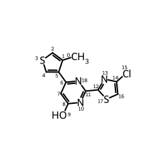 Cc1cscc1-c1cc(O)nc(-c2nc(Cl)cs2)n1